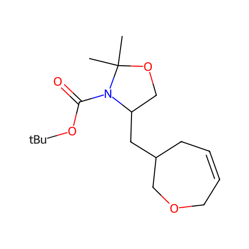 CC(C)(C)OC(=O)N1C(CC2CC=CCOC2)COC1(C)C